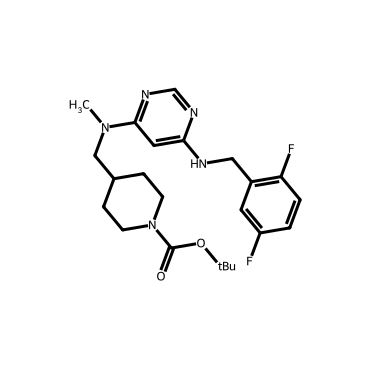 CN(CC1CCN(C(=O)OC(C)(C)C)CC1)c1cc(NCc2cc(F)ccc2F)ncn1